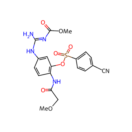 COCC(=O)Nc1ccc(NC(N)=NC(=O)OC)cc1OS(=O)(=O)c1ccc(C#N)cc1